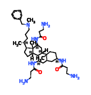 C[C@H](CCCN(C)Cc1ccccc1)C1CC[C@H]2C3[C@H](NC(=O)CCN)CC4C[C@H](NC(=O)CCN)CCC4(C)[C@H]3C[C@H](NC(=O)CCN)C12C